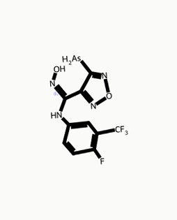 O/N=C(/Nc1ccc(F)c(C(F)(F)F)c1)c1nonc1[AsH2]